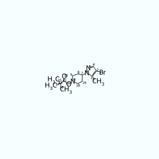 Cc1c(Br)cnn1C1CCN(OC(=O)C(C)(C)C)CC1